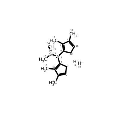 CC1=CC[C]([Zr]([C]2=C(C)C(C)=CC2)[SiH](C)C)=C1C.[H-].[H-]